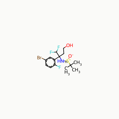 CC(C)(C)[S@+]([O-])NC(CCO)(c1cc(Br)ccc1F)C(F)F